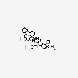 CC1=NN(c2ccc(C)c(Cl)c2)C(=O)C1=NNC1(C(=O)O)C=CC=C(c2ccccc2O)C1